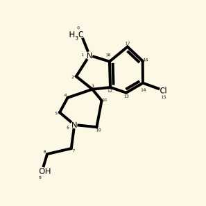 CN1CC2(CCN(CCO)CC2)c2cc(Cl)ccc21